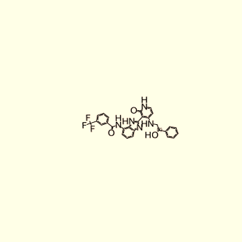 O=C(Nc1cccc2nc(-c3c(NC[C@H](O)c4ccccc4)cc[nH]c3=O)[nH]c12)c1cccc(C(F)(F)F)c1